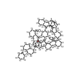 N#Cc1c(-n2c3ccccc3c3ccccc32)c(-n2c3ccccc3c3ccccc32)c(C#N)c(-n2c3ccc(-c4ccc5c6c(cccc46)-c4ccccc4-5)cc3c3ccc4c5ccccc5sc4c32)c1-n1c2ccccc2c2ccccc21